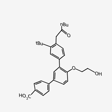 CCCCC(=O)Cc1ccc(-c2cc(-c3ccc(C(=O)O)cc3)ccc2OCCO)cc1C(C)(C)C